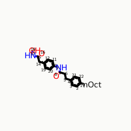 CCCCCCCCc1ccc(CCC(=O)Nc2ccc(CC(=O)NO)cc2)cc1